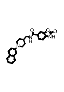 O=C(NCC1CCN(c2ccc3ccccc3c2)CC1)c1ccc2[nH]c(=O)oc2c1